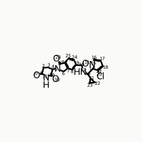 O=C1CCC(N2Cc3cc(C(=O)NC(c4ncccc4Cl)C4CC4)ccc3C2=O)C(=O)N1